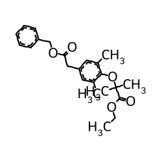 CCOC(=O)C(C)(C)Oc1c(C)cc(CC(=O)OCc2ccccc2)cc1C